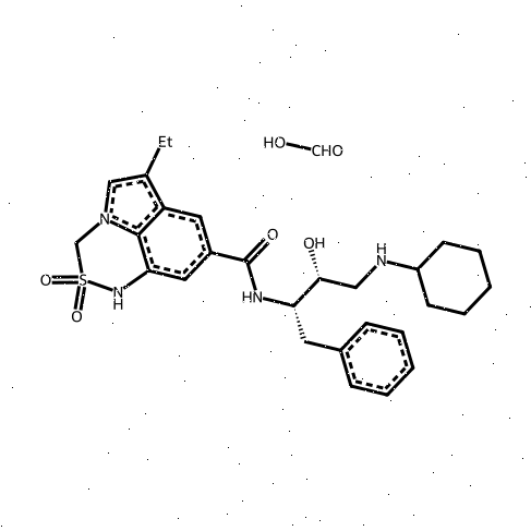 CCc1cn2c3c(cc(C(=O)N[C@@H](Cc4ccccc4)[C@H](O)CNC4CCCCC4)cc13)NS(=O)(=O)C2.O=CO